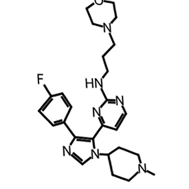 CN1CCC(n2cnc(-c3ccc(F)cc3)c2-c2ccnc(NCCCN3CCOCC3)n2)CC1